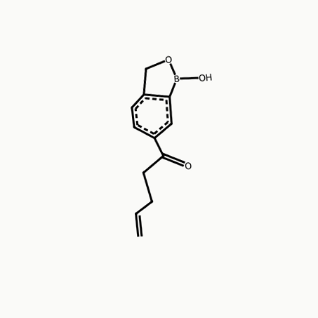 C=CCCC(=O)c1ccc2c(c1)B(O)OC2